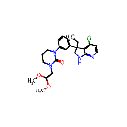 CCC1(c2cccc(N3CCCN(CC(OC)OC)C3=O)c2)CNc2nccc(Cl)c21